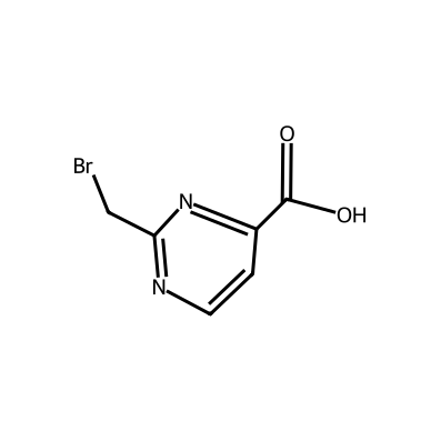 O=C(O)c1ccnc(CBr)n1